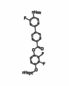 CCCCCCCOc1ccc(OC(=O)c2ccc(-c3ccc(CCCCCC)c(F)c3)cc2)c(F)c1F